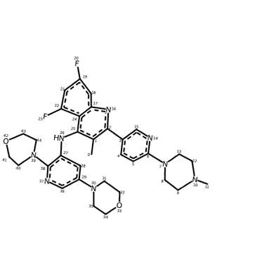 Cc1c(-c2ccc(N3CCN(C)CC3)nc2)nc2cc(F)cc(F)c2c1Nc1cc(N2CCOCC2)cnc1N1CCOCC1